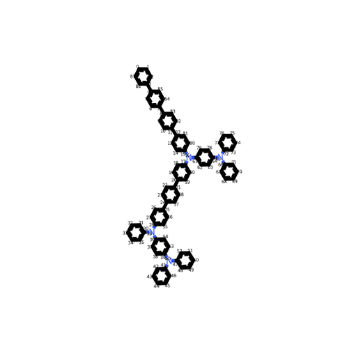 c1ccc(-c2ccc(-c3ccc(-c4ccc(N(c5ccc(-c6ccc(-c7ccc(N(c8ccccc8)c8ccc(N(c9ccccc9)c9ccccc9)cc8)cc7)cc6)cc5)c5ccc(N(c6ccccc6)c6ccccc6)cc5)cc4)cc3)cc2)cc1